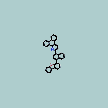 c1ccc2c(c1)oc1c(-c3ccc(-c4ccc5c6ccccc6c6ccccc6c5n4)c4ccccc34)cccc12